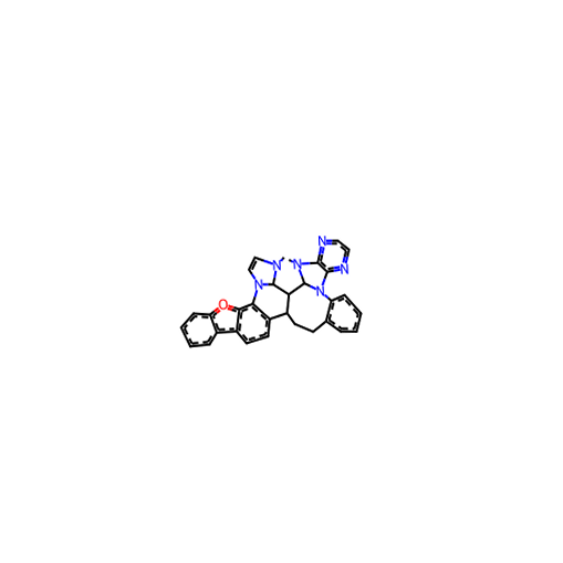 CN1C=CN2c3c(ccc4c3oc3ccccc34)C3CCc4ccccc4N4c5nccnc5N(C)C4C3C12